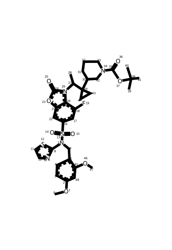 COc1ccc(CN(c2nccs2)S(=O)(=O)c2cc(F)c3c(c2)oc(=O)n3C(C)C2(C3CCCN(C(=O)OC(C)(C)C)C3)CC2)c(OC)c1